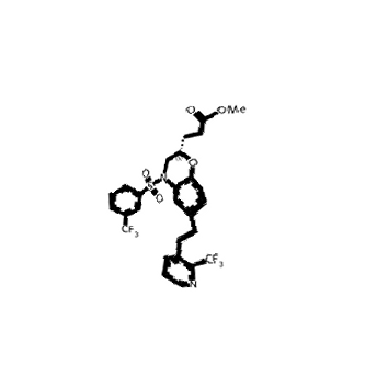 COC(=O)CC[C@H]1CN(S(=O)(=O)c2cccc(C(F)(F)F)c2)c2cc(CCc3cccnc3C(F)(F)F)ccc2O1